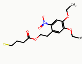 CCOc1cc(CCOC(=O)CCCS)c([N+](=O)[O-])cc1OCC